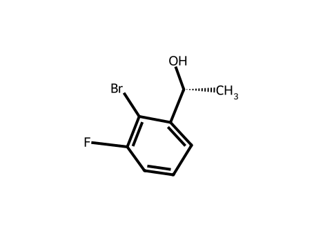 C[C@@H](O)c1cccc(F)c1Br